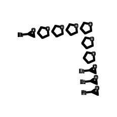 C1CCOC1.C1CCOC1.C1CCOC1.C1CCOC1.C1CCOC1.C1CCOC1.CCC1=CO1.CCC1=CO1.CCC1=CO1.CCC1=CO1